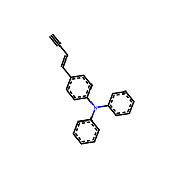 C#CC=Cc1ccc(N(c2ccccc2)c2ccccc2)cc1